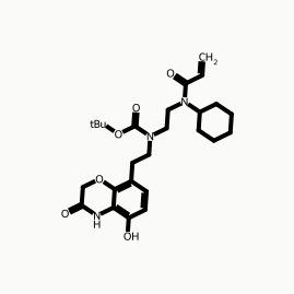 C=CC(=O)N(CCN(CCc1ccc(O)c2c1OCC(=O)N2)C(=O)OC(C)(C)C)C1CCCCC1